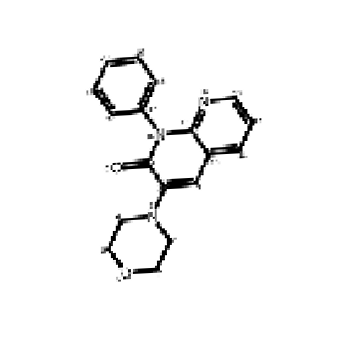 O=c1c(N2CCOCC2)cc2cccnc2n1-c1ccccc1